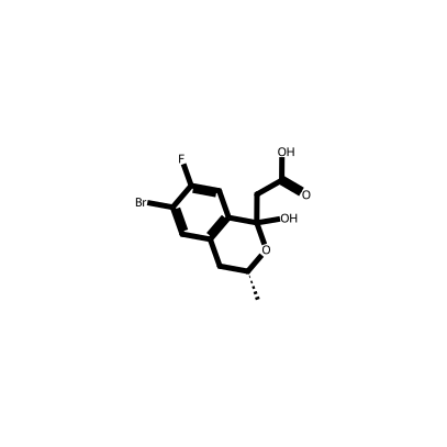 C[C@@H]1Cc2cc(Br)c(F)cc2C(O)(CC(=O)O)O1